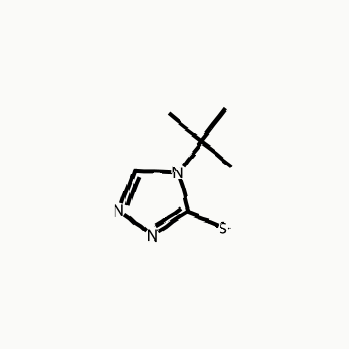 CC(C)(C)n1cnnc1[S]